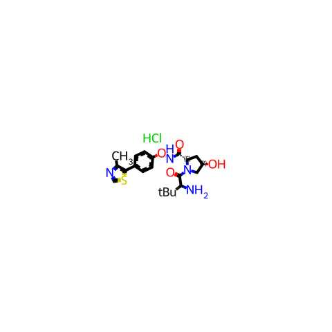 Cc1ncsc1-c1ccc(ONC(=O)[C@@H]2C[C@@H](O)CN2C(=O)C(N)C(C)(C)C)cc1.Cl